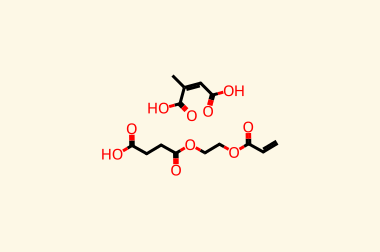 C/C(=C/C(=O)O)C(=O)O.C=CC(=O)OCCOC(=O)CCC(=O)O